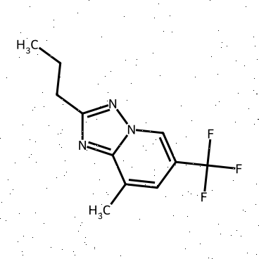 CCCc1nc2c(C)cc(C(F)(F)F)cn2n1